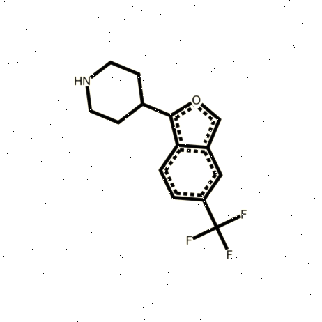 FC(F)(F)c1ccc2c(C3CCNCC3)occ2c1